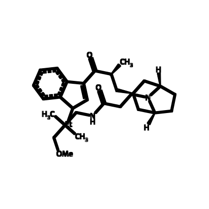 CCC1C=C(C(=O)[C@@H](C)C[C@@H]2C[C@H]3CC[C@@H](C2)N3CCC(=O)NCC(C)(C)COC)c2ccccc21